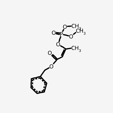 COP(=O)(OC)OC(C)=CC(=O)OCc1ccccc1